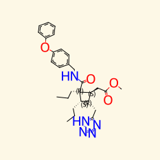 CCC[C@H]1[C@@H](Cc2nnn[nH]2)[C@H](CC(=O)OC)[C@]1(CCC)C(=O)NCc1ccc(Oc2ccccc2)cc1